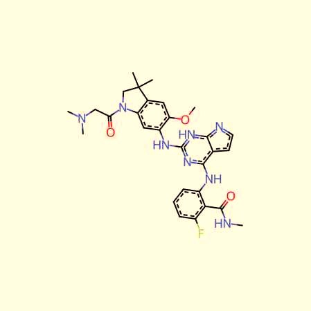 CNC(=O)c1c(F)cccc1Nc1nc(Nc2cc3c(cc2OC)C(C)(C)CN3C(=O)CN(C)C)[nH]c2nccc1-2